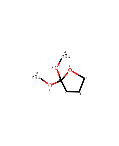 CCCCOC1(OCCCC)CCCO1